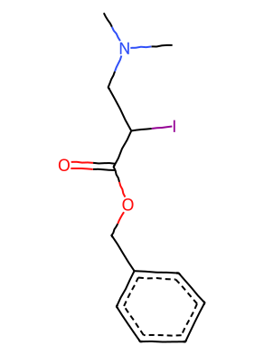 CN(C)CC(I)C(=O)OCc1ccccc1